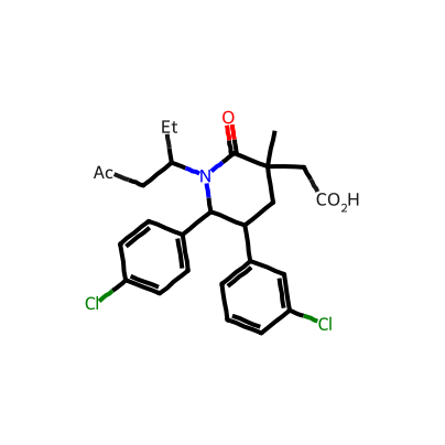 CCC(CC(C)=O)N1C(=O)C(C)(CC(=O)O)CC(c2cccc(Cl)c2)C1c1ccc(Cl)cc1